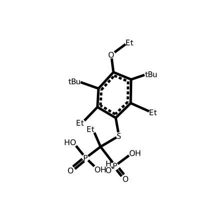 CCOc1c(C(C)(C)C)c(CC)c(SC(CC)(P(=O)(O)O)P(=O)(O)O)c(CC)c1C(C)(C)C